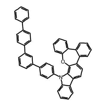 c1ccc(-c2ccc(-c3cccc(-c4ccc(-n5c6ccccc6c6ccc7c(c65)Oc5ccccc5-c5ccccc5-7)cc4)c3)cc2)cc1